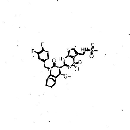 CS(=O)(=O)NCc1csc2c1S(=O)(=O)N=C(C1=C(O)C3C4CCC(C4)C3N(Cc3ccc(F)c(F)c3)C1=O)N2